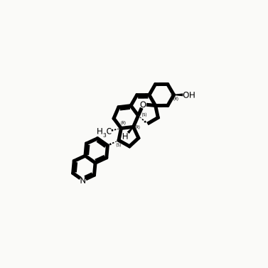 C[C@]12CC=C3C=C4CC[C@@H](O)CC45CC[C@]3(O5)[C@@H]1CC[C@@H]2c1ccc2ccncc2c1